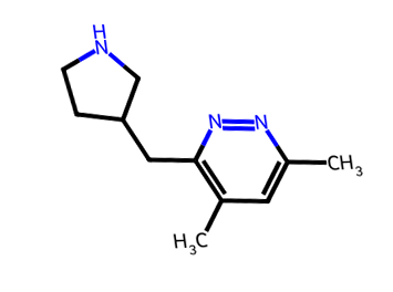 Cc1cc(C)c(CC2CCNC2)nn1